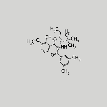 CCC[C@@H](NN(C(=O)c1cc(C)cc(C)c1)C(=O)c1cccc(OC)c1C)C(C)(C)C